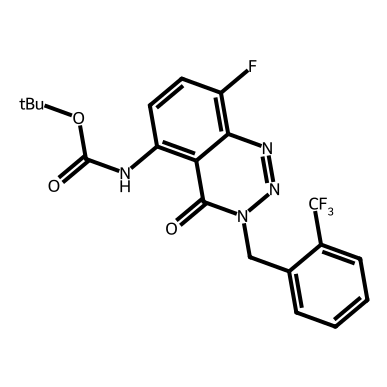 CC(C)(C)OC(=O)Nc1ccc(F)c2nnn(Cc3ccccc3C(F)(F)F)c(=O)c12